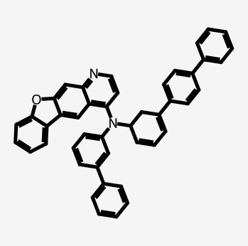 C1=CC(N(c2cccc(-c3ccccc3)c2)c2ccnc3cc4oc5ccccc5c4cc23)CC(c2ccc(-c3ccccc3)cc2)=C1